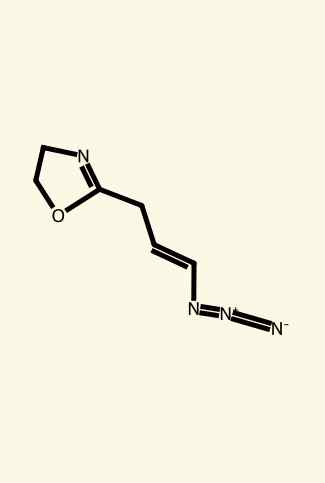 [N-]=[N+]=NC=CCC1=NCCO1